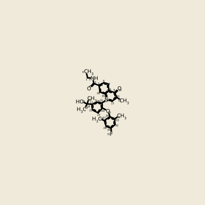 CCNC(=O)c1ccc2c(=O)c(C)cn(-c3cc(C(C)(C)O)ccc3Oc3c(C)cc(F)cc3C)c2c1